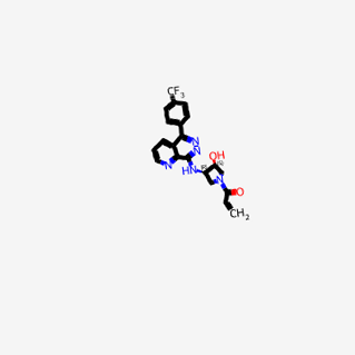 C=CC(=O)N1C[C@H](O)[C@H](Nc2nnc(-c3ccc(C(F)(F)F)cc3)c3cccnc23)C1